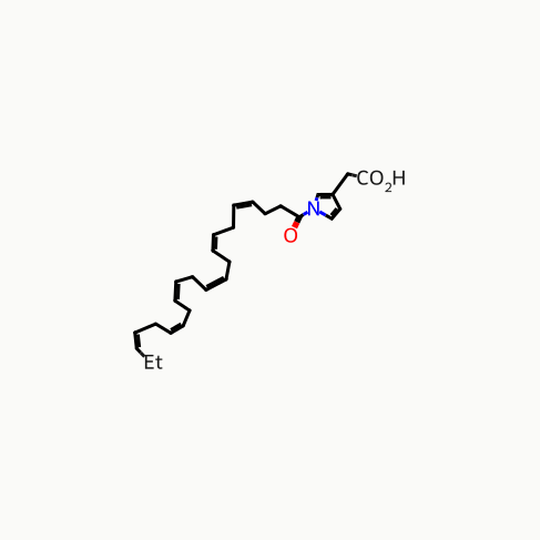 CC/C=C\C/C=C\C/C=C\C/C=C\C/C=C\C/C=C\CCC(=O)n1ccc(CC(=O)O)c1